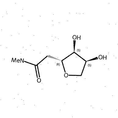 CNC(=O)C[C@H]1OC[C@H](O)[C@@H]1O